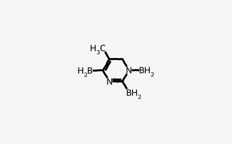 BC1=NC(B)=C(C)CN1B